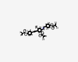 C=C(C)C(=O)Oc1ccc(C#Cc2cc(OC(=O)C(=C)C)c(/C=C/c3ccc(OC(=O)C(=C)C)cc3)cc2F)cc1